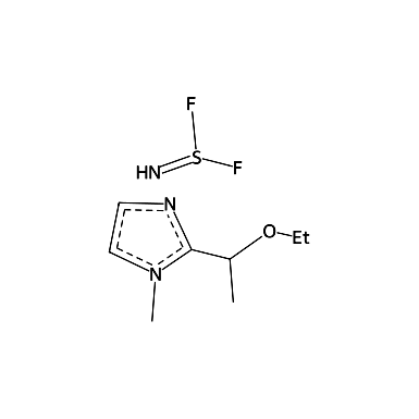 CCOC(C)c1nccn1C.N=S(F)F